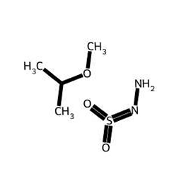 COC(C)C.NN=S(=O)=O